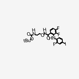 CC(C)(C)OC(=O)NCCONC(=O)c1ccc(F)c(F)c1Nc1ccc(I)cc1F